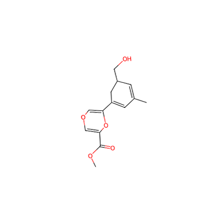 COC(=O)C1=COC=C(C2=CC(C)=CC(CO)C2)O1